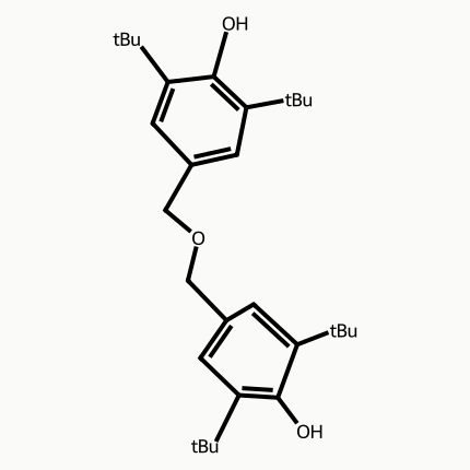 CC(C)(C)c1cc(COCc2cc(C(C)(C)C)c(O)c(C(C)(C)C)c2)cc(C(C)(C)C)c1O